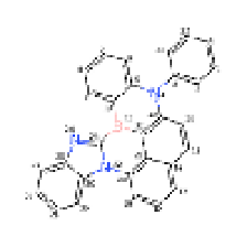 c1ccc(N2c3ccccc3B3c4c2ccc2cccc(c42)-n2c3nc3ccccc32)cc1